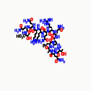 CC(C)C[C@H](NC(=O)[C@H](C)NC(=O)[C@H](CCC(N)=O)NC(=O)[C@@H](N)[C@@H](C)O)C(=O)N1CCC[C@H]1C(=O)N[C@@H](CCC(N)=O)C(=O)N[C@@H](CCCNC(=N)N)C(=O)N[C@@H](CCC(N)=O)C(=O)N[C@@H](CCCCN)C(=O)N[C@@H](CCCCN)C(=O)N[C@@H](CCC(N)=O)C(=O)N[C@@H](CCC(N)=O)C(=O)N[C@H](C(=O)O)[C@@H](C)O